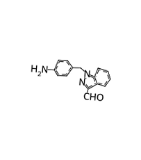 Nc1ccc(Cn2nc(C=O)c3ccccc32)cc1